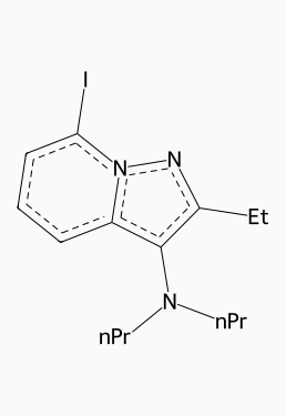 CCCN(CCC)c1c(CC)nn2c(I)cccc12